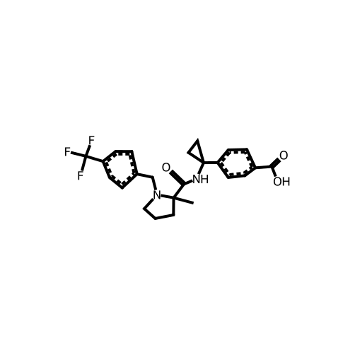 CC1(C(=O)NC2(c3ccc(C(=O)O)cc3)CC2)CCCN1Cc1ccc(C(F)(F)F)cc1